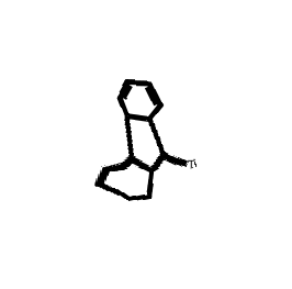 [Ti][CH]1C2C=CC=CC2C2CCCCC12